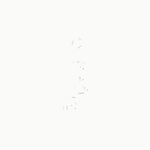 NOC(=O)c1cnc(N2CCN(S(=O)(=O)CCc3ccccc3)CC2)s1